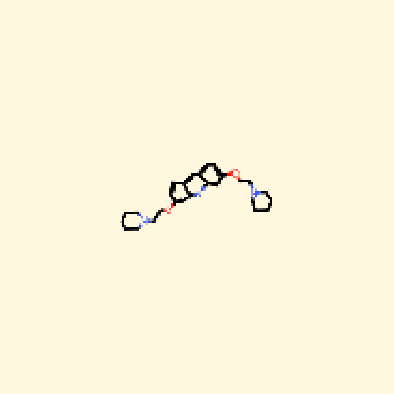 c1cc2cc3ccc(OCCN4CCCCC4)cc3nc2cc1OCCN1CCCCC1